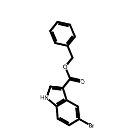 O=C(OCc1ccccc1)c1c[nH]c2ccc(Br)cc12